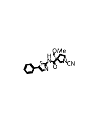 COC[C@]1(C(=O)Nc2ncc(-c3ccccc3)s2)CCN(C#N)C1